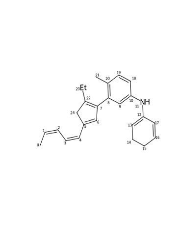 C/C=C\C=C/C1=CC(c2cc(NC3=CCCC=C3)ccc2C)=C(CC)C1